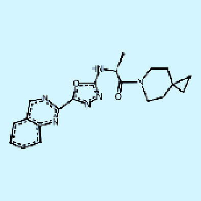 C[C@H](Nc1nnc(-c2ncc3ccccc3n2)o1)C(=O)N1CCC2(CC1)CC2